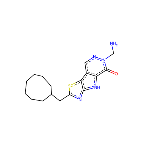 NCn1ncc2c([nH]c3nc(CC4CCCCCCC4)sc32)c1=O